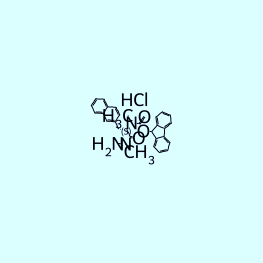 CN(N)C(=O)[C@H](Cc1ccc2ccccc2c1)N(C)C(=O)OC1c2ccccc2-c2ccccc21.Cl